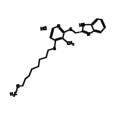 COCCCCCCCCSc1ccnc(SCc2nc3ccccc3[nH]2)c1C.Cl